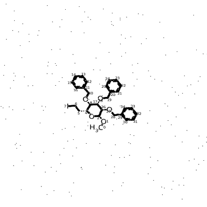 CO[C@H]1O[C@H](CCI)[C@@H](OCc2ccccc2)[C@H](OCc2ccccc2)[C@H]1OCc1ccccc1